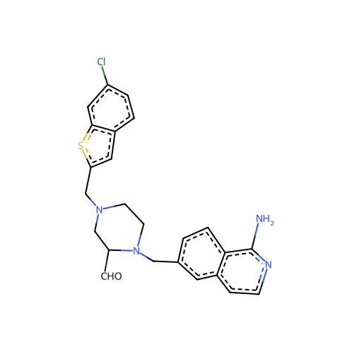 Nc1nccc2cc(CN3CCN(Cc4cc5ccc(Cl)cc5s4)CC3C=O)ccc12